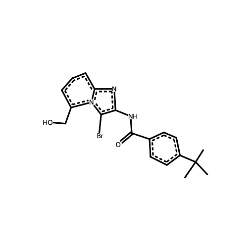 CC(C)(C)c1ccc(C(=O)Nc2nc3cccc(CO)n3c2Br)cc1